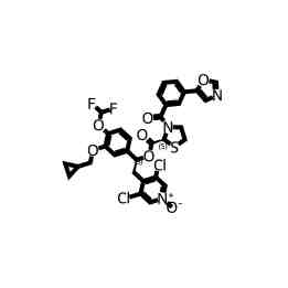 O=C(O[C@@H](Cc1c(Cl)c[n+]([O-])cc1Cl)c1ccc(OC(F)F)c(OCC2CC2)c1)[C@@H]1SCCN1C(=O)c1cccc(-c2cnco2)c1